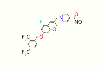 O=NC(=O)C1=CCN(CC2=Cc3c(F)cc(OCC4=C(C(F)(F)F)CC(C(F)(F)F)C=C4)cc3OC2)CC1